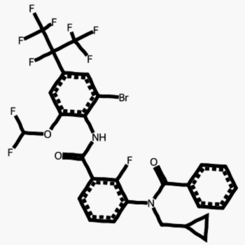 O=C(Nc1c(Br)cc(C(F)(C(F)(F)F)C(F)(F)F)cc1OC(F)F)c1cccc(N(CC2CC2)C(=O)c2ccccc2)c1F